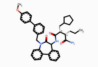 CCC[C@H](C(N)=O)[C@@H](CC1CCCC1)C(=O)NC1C(=O)N(Cc2cccc(-c3ccc(OC)cc3)c2)c2ccccc2-c2ccccc21